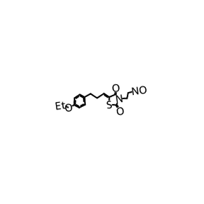 CCOc1ccc(CC/C=C2\SC(=O)N(CCN=O)C2=O)cc1